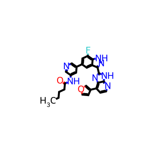 CCCCC(=O)Nc1cncc(-c2cc(F)c3[nH]nc(-c4nc5c(-c6ccoc6)ccnc5[nH]4)c3c2)c1